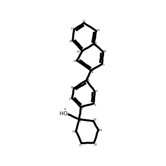 OC1(c2ccc(-c3ccc4ccccc4c3)cc2)CCCCC1